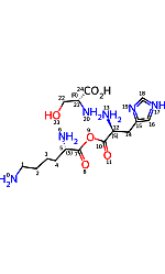 NCCCC[C@H](N)C(=O)OC(=O)[C@@H](N)Cc1c[nH]cn1.N[C@H](CO)C(=O)O